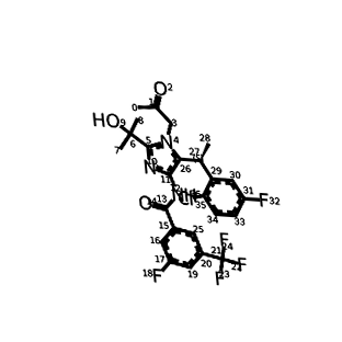 CC(=O)Cn1c(C(C)(C)O)nc(NC(=O)c2cc(F)cc(C(F)(F)F)c2)c1[C@@H](C)c1cc(F)ccc1Cl